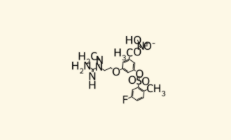 C=NN(CCOc1cc(C)cc(OS(=O)(=O)c2cc(F)ccc2C)c1)C(=N)N.O=[N+]([O-])O